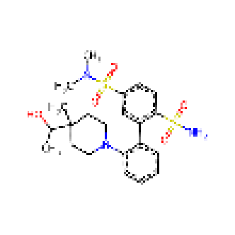 CC(O)C1(C)CCN(c2ccccc2-c2cc(S(=O)(=O)N(C)C)ccc2S(N)(=O)=O)CC1